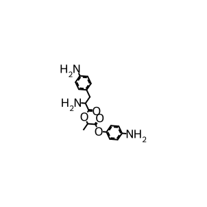 CC(OC(=O)C(N)Cc1ccc(N)cc1)C(=O)Oc1ccc(N)cc1